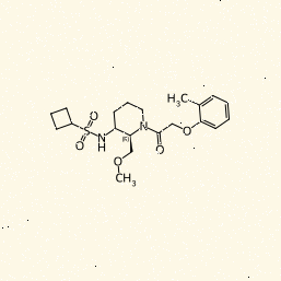 COC[C@H]1C(NS(=O)(=O)C2CCC2)CCCN1C(=O)COc1ccccc1C